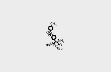 Cc1ccc(S(=O)(=O)Oc2ccc(C(C(=O)OC(C)(C)C)C(N)C(=O)OC(C)(C)C)cc2)cc1